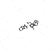 C=C1Cc2c(cc(C#N)c3c2C2CC4CC5CC3CC542)N1c1cnc2c(c1C)C1CC3CC2CC1C3